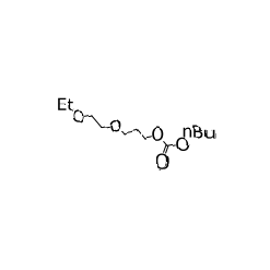 CCCCOC(=O)OCCCOCCOCC